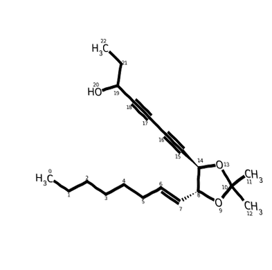 CCCCCC/C=C/[C@H]1OC(C)(C)O[C@@H]1C#CC#CC(O)CC